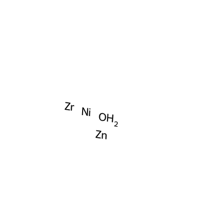 O.[Ni].[Zn].[Zr]